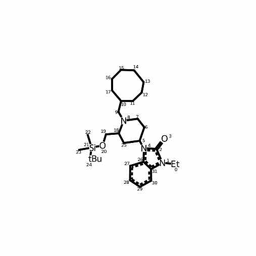 CCn1c(=O)n(C2CCN(CC3CCCCCCC3)C(CO[Si](C)(C)C(C)(C)C)C2)c2ccccc21